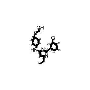 CCc1cc(Nc2ccc(SCO)cc2)nc(-c2cccc(Cl)c2)n1